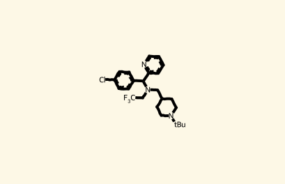 CC(C)(C)N1CCC(CN(CC(F)(F)F)C(c2ccc(Cl)cc2)c2ccccn2)CC1